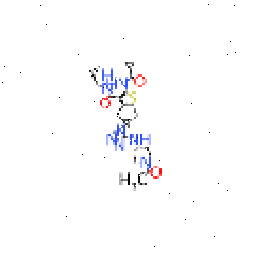 CC(=O)N1CCC(Nc2nncn2[C@H]2CCc3sc(NC(=O)C4CC4)c(C(=O)NCC4CC4)c3C2)CC1